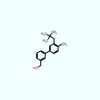 Cc1ccc(-c2cccc(CO)c2)cc1CC(C)(C)C